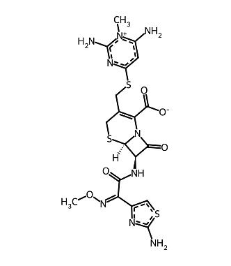 CO/N=C(\C(=O)N[C@@H]1C(=O)N2C(C(=O)[O-])=C(CSc3cc(N)[n+](C)c(N)n3)CS[C@H]12)c1csc(N)n1